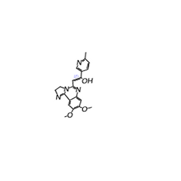 COc1cc2c(cc1OC)C1=NCCN1C(/C=C(\O)c1ccc(C)nc1)=N2